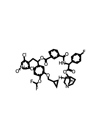 O=C(NC(C(=O)O[C@H]1CN2CCC1CC2)c1ccc(F)cc1)c1cccc(C(=O)OC(Cc2c(Cl)c[n+]([O-])cc2Cl)c2ccc(OC(F)F)c(OCC3CC3)c2)c1